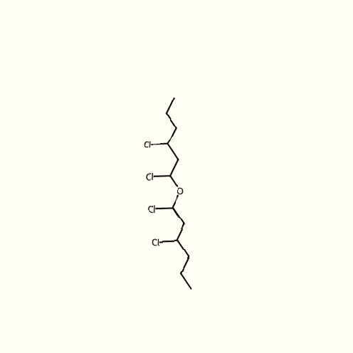 CCCC(Cl)CC(Cl)OC(Cl)CC(Cl)CCC